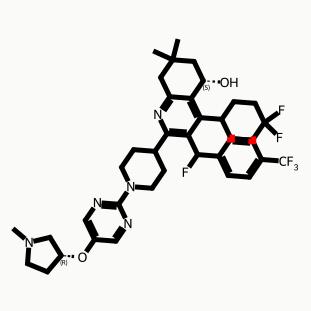 CN1CC[C@@H](Oc2cnc(N3CCC(c4nc5c(c(C6CCC(F)(F)CC6)c4C(F)c4ccc(C(F)(F)F)cc4)[C@@H](O)CC(C)(C)C5)CC3)nc2)C1